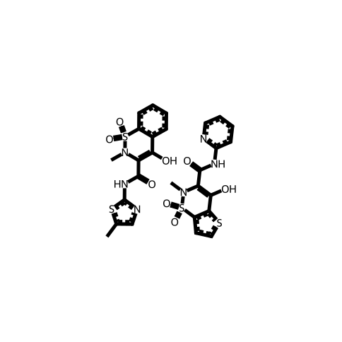 CN1C(C(=O)Nc2ccccn2)=C(O)c2sccc2S1(=O)=O.Cc1cnc(NC(=O)C2=C(O)c3ccccc3S(=O)(=O)N2C)s1